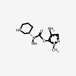 Cn1ncc(N)c1OC(=O)N([C@H]1CCCNC1)C(C)(C)C